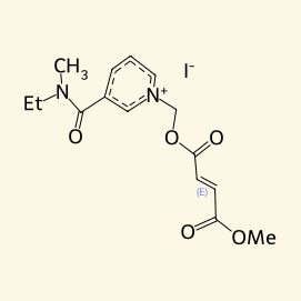 CCN(C)C(=O)c1ccc[n+](COC(=O)/C=C/C(=O)OC)c1.[I-]